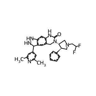 Cc1cc(C2NNc3cc4c(cc32)CN([C@@H]2CN(CC(F)F)C[C@H]2c2ccccc2)C(=O)N4)cc(C)n1